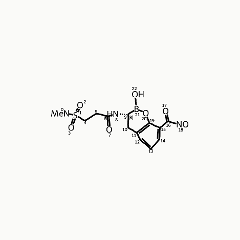 CNS(=O)(=O)CCC(=O)N[C@H]1Cc2cccc(C(=O)N=O)c2OB1O